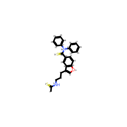 CC(=S)NCCCc1coc2ccc(C(=S)N(c3ccccc3)c3ccccc3)cc12